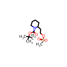 CC(C)(C)OC(=O)N1CCCCC1CCOS(C)(=O)=O